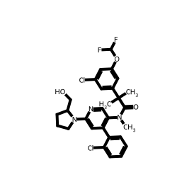 CN(C(=O)C(C)(C)c1cc(Cl)cc(OC(F)F)c1)c1cnc(N2CCCC2CO)cc1-c1ccccc1Cl